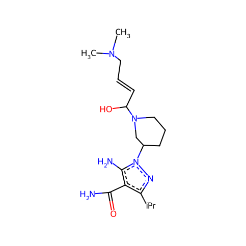 CC(C)c1nn(C2CCCN(C(O)/C=C/CN(C)C)C2)c(N)c1C(N)=O